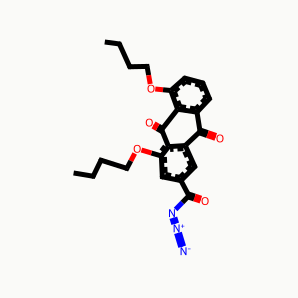 CCCCOc1cccc2c1C(=O)c1c(OCCCC)cc(C(=O)N=[N+]=[N-])cc1C2=O